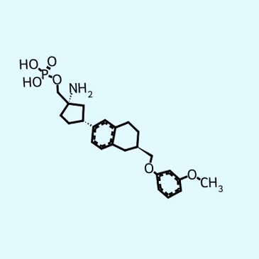 COc1cccc(OC[C@@H]2CCc3cc([C@@H]4CC[C@@](N)(COP(=O)(O)O)C4)ccc3C2)c1